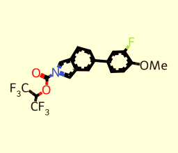 COc1ccc(-c2ccc3cn(C(=O)OC(C(F)(F)F)C(F)(F)F)cc3c2)cc1F